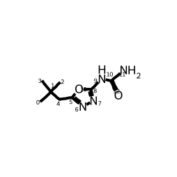 CC(C)(C)Cc1nnc(NC(N)=O)o1